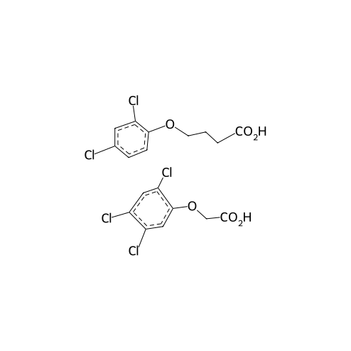 O=C(O)CCCOc1ccc(Cl)cc1Cl.O=C(O)COc1cc(Cl)c(Cl)cc1Cl